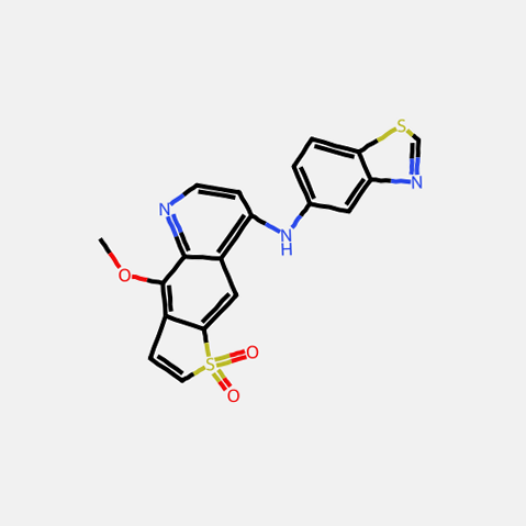 COc1c2c(cc3c(Nc4ccc5scnc5c4)ccnc13)S(=O)(=O)C=C2